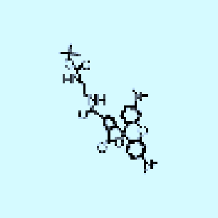 CN(C)c1ccc2c(c1)Oc1cc(N(C)C)ccc1C21OC(=O)c2cc(C(=O)NCCNC(=O)OC(C)(C)C)ccc21